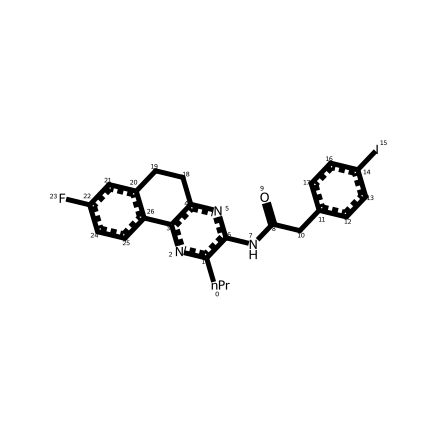 CCCc1nc2c(nc1NC(=O)Cc1ccc(I)cc1)CCc1cc(F)ccc1-2